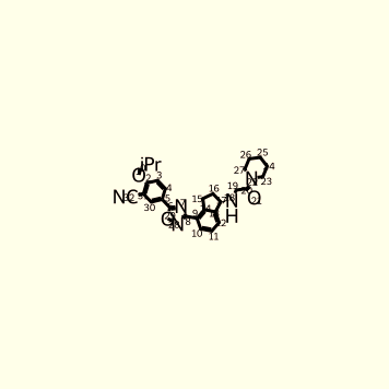 CC(C)Oc1ccc(-c2nc(-c3cccc4c3CC[C@@H]4NCC(=O)N3CCCCC3)no2)cc1C#N